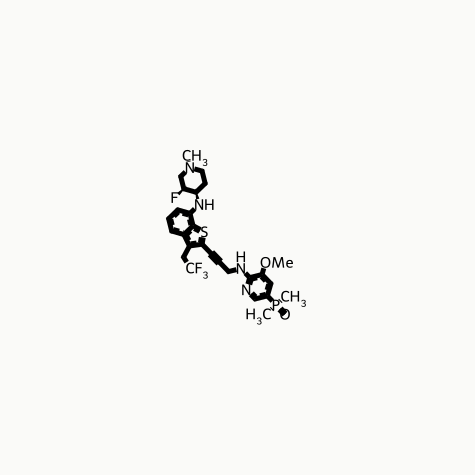 COc1cc(P(C)(C)=O)cnc1NCC#Cc1sc2c(N[C@@H]3CCN(C)C[C@@H]3F)cccc2c1CC(F)(F)F